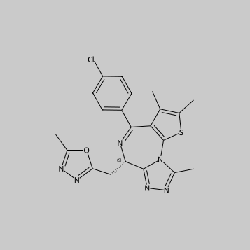 Cc1nnc(C[C@@H]2N=C(c3ccc(Cl)cc3)c3c(sc(C)c3C)-n3c(C)nnc32)o1